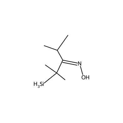 CC(C)C(=NO)C(C)(C)[SiH3]